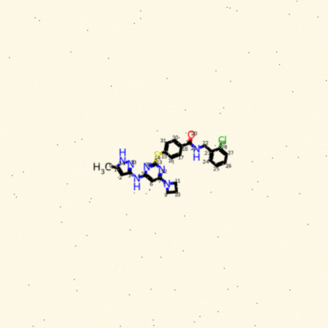 Cc1cc(Nc2cc(N3CCC3)nc(Sc3ccc(C(=O)NCc4ccccc4Cl)cc3)n2)n[nH]1